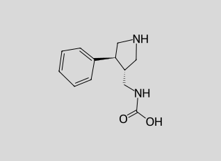 O=C(O)NC[C@H]1CNC[C@@H]1c1ccccc1